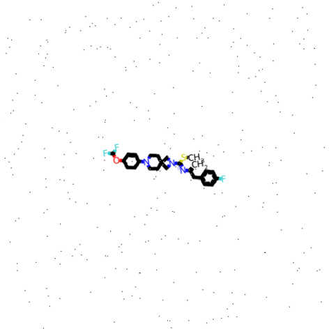 C=C(Cc1ccc(F)cc1)/N=C(\SC)N1CC2(CCN(C3C=CC(OC(F)F)CC3)CC2)C1